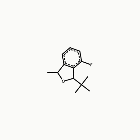 CC1OC(C(C)(C)C)c2c(F)cccc21